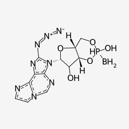 B[PH]1(O)OC[C@H]2O[C@@H](n3c(N=[N+]=[N-])nc4c3ncn3ccnc43)C(O)[C@H]2O1